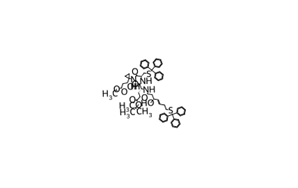 COC(=O)CC(O)C1(NC(=O)[C@@H](CSC(c2ccccc2)(c2ccccc2)c2ccccc2)NC(=O)[C@@H](CCC(=O)OC(C)(C)C)NC(=O)C[C@H](O)C=CCCSC(c2ccccc2)(c2ccccc2)c2ccccc2)CC1